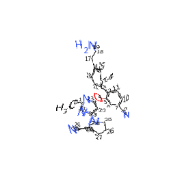 Cc1nc(Oc2cc(C#N)ccc2-c2ccc(CCN)cc2)cc(N2CCC[C@H]2C#N)n1